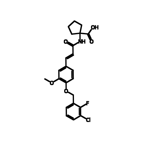 COc1cc(/C=C/C(=O)NC2(C(=O)O)CCCC2)ccc1OCc1cccc(Cl)c1F